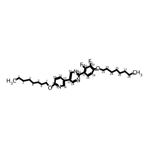 CCCCCCCCOc1ccc(-c2cnc(-c3ccc(OCCCCCCCC)c(F)c3F)nc2)cn1